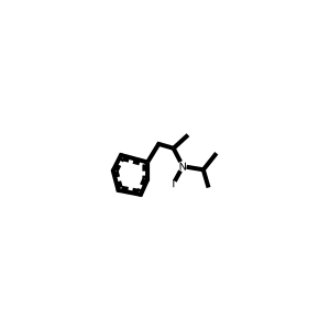 CC(C)N(I)C(C)Cc1ccccc1